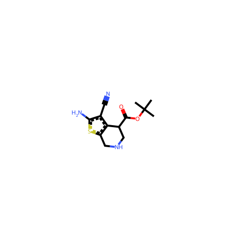 CC(C)(C)OC(=O)C1CNCc2sc(N)c(C#N)c21